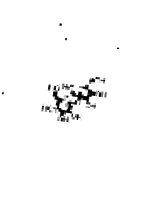 OCC1O[C@H](O[C@]2(CO)O[C@H](CO)C(O)[C@H]2O)[C@@H](O)C(O)[C@@H]1O